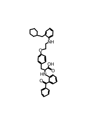 O=C(c1ccccc1)c1ccccc1NC(Cc1ccc(OCCNc2ccccc2CC2CCCCC2)cc1)C(=O)O